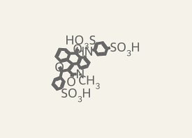 Cn1c(=O)c(C(=O)c2cccc(S(=O)(=O)O)c2)c2c3c(c(Nc4ccc(S(=O)(=O)O)cc4S(=O)(=O)O)ccc31)C(=O)c1ccccc1-2